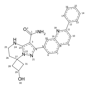 NC(=O)c1c(-c2ccc3ccc(-c4ccccc4)nc3c2)nn2c1NCCC21CC(O)C1